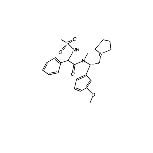 COc1cccc([C@@H](CN2CCCC2)N(C)C(=O)C(NS(C)(=O)=O)c2ccccc2)c1